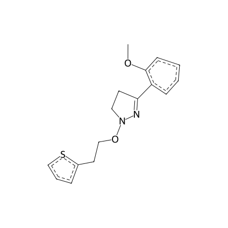 COc1ccccc1C1=NN(OCCc2cccs2)CC1